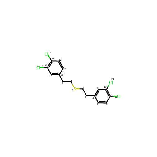 Clc1ccc(CCSCCc2ccc(Cl)c(Cl)c2)cc1Cl